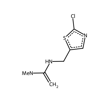 C=C(NC)NCc1cnc(Cl)s1